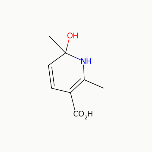 CC1=C(C(=O)O)C=CC(C)(O)N1